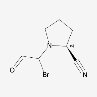 N#C[C@@H]1CCCN1C(Br)C=O